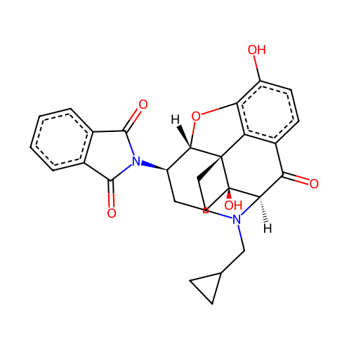 O=C1c2ccc(O)c3c2[C@]24CCN(CC5CC5)[C@H]1[C@]2(O)CC[C@@H](N1C(=O)c2ccccc2C1=O)[C@@H]4O3